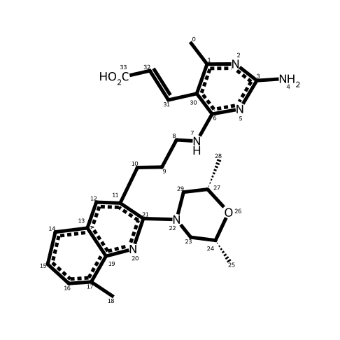 Cc1nc(N)nc(NCCCc2cc3cccc(C)c3nc2N2C[C@@H](C)O[C@@H](C)C2)c1/C=C/C(=O)O